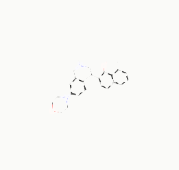 COc1c(C2CN(C)Cc3cc(N4CCOCC4)ccc32)ccc2ccccc12